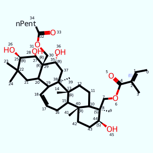 C/C=C(\C)C(=O)OC[C@]1(C)C2CC[C@]3(C)C(CC=CC4C5CC(C)(C)[C@@H](O)[C@H](O)[C@]5(COC(=O)CCCCC)[C@H](O)C[C@]43C)[C@@]2(C)CC[C@@H]1O